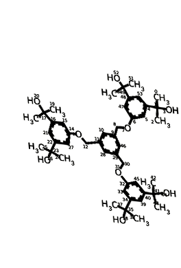 CC(C)(O)c1cc(OCc2cc(COc3cc(C(C)(C)O)cc(C(C)(C)O)c3)cc(COc3cc(C(C)(C)O)cc(C(C)(C)O)c3)c2)cc(C(C)(C)O)c1